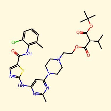 Cc1nc(Nc2ncc(C(=O)Nc3c(C)cccc3Cl)s2)cc(N2CCN(CCOC(=O)[C@@H](C(=O)OC(C)(C)C)C(C)C)CC2)n1